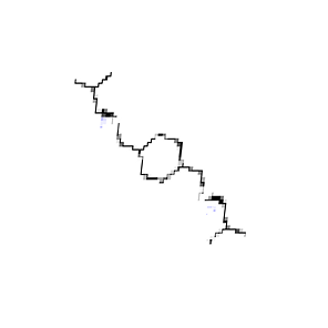 CC(C)/C=N/CC1CCC(C/N=C/C(C)C)CC1